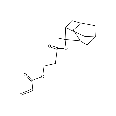 C=CC(=O)OCCC(=O)OC1(C)C2CC3CC(C2)CC1C3